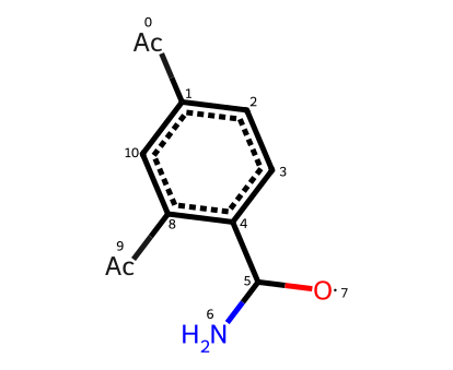 CC(=O)c1ccc(C(N)[O])c(C(C)=O)c1